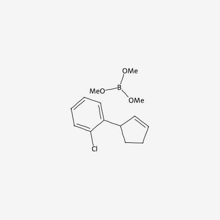 COB(OC)OC.Clc1ccccc1C1C=CCC1